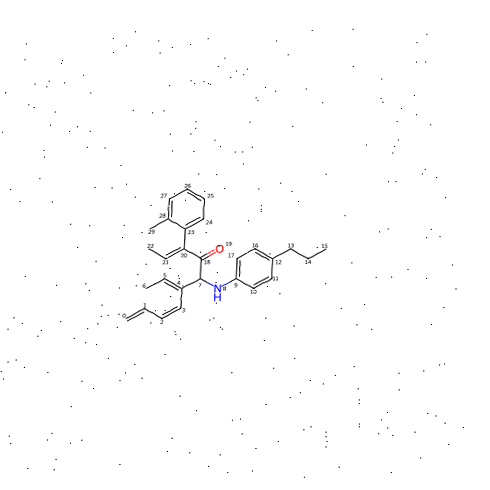 C=C/C=C\C(=C/C)C(Nc1ccc(CCC)cc1)C(=O)/C(=C/C)c1ccccc1C